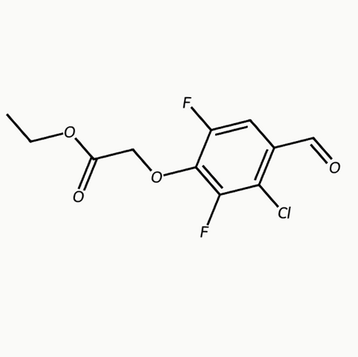 CCOC(=O)COc1c(F)cc(C=O)c(Cl)c1F